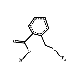 O=C(OBr)c1ccccc1COC(F)(F)F